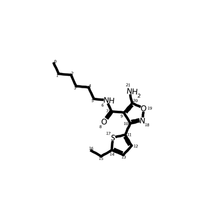 CCCCCCNC(=O)c1c(-c2ccc(CC)s2)noc1N